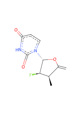 C=C1O[C@@H](n2ccc(=O)[nH]c2=O)[C@H](F)[C@@H]1C